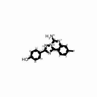 Cc1ccc2c(c1)nc(N)n1nc(-c3ccc(O)cc3)nc21